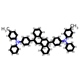 Cc1ccc(N(c2ccccc2)c2ccc(-c3cc4c5ccccc5c(-c5ccc(N(c6ccccc6)c6ccc(C)cc6)cc5)cc4c4ccccc34)cc2)cc1